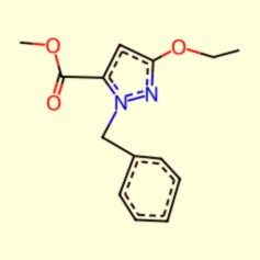 CCOc1cc(C(=O)OC)n(Cc2ccccc2)n1